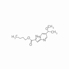 CCCCOC(=O)c1cc2ncc(C(C)OC)cn2n1